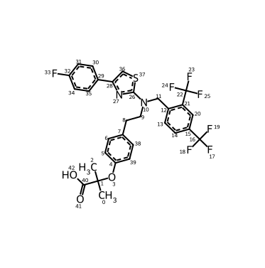 CC(C)(Oc1ccc(CCN(Cc2ccc(C(F)(F)F)cc2C(F)(F)F)c2nc(-c3ccc(F)cc3)cs2)cc1)C(=O)O